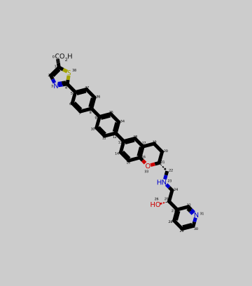 O=C(O)c1cnc(-c2ccc(-c3ccc(-c4ccc5c(c4)CC[C@H](CNC[C@@H](O)c4cccnc4)O5)cc3)cc2)s1